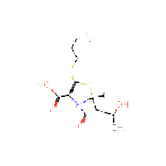 CCCSC1=C(C(=O)O)N2C(=O)[C@@H]([C@H](C)O)[C@H]2S1